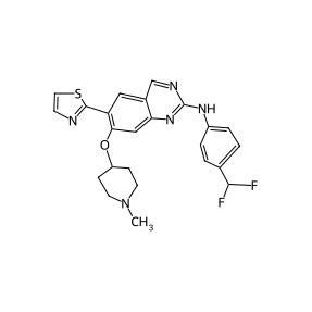 CN1CCC(Oc2cc3nc(Nc4ccc(C(F)F)cc4)ncc3cc2-c2nccs2)CC1